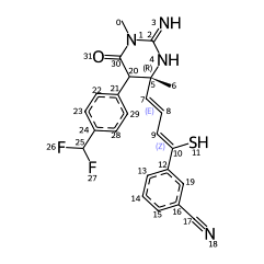 CN1C(=N)N[C@](C)(/C=C/C=C(\S)c2cccc(C#N)c2)C(c2ccc(C(F)F)cc2)C1=O